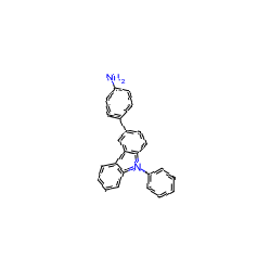 Nc1ccc(-c2ccc3c(c2)c2ccccc2n3-c2ccccc2)cc1